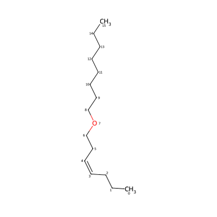 CCC/C=C\CCOCCCCCCCC